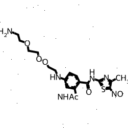 CC(=O)Nc1cc(NCCOOCCOCCN)ccc1C(=O)Nc1nc(C)c(N=O)s1